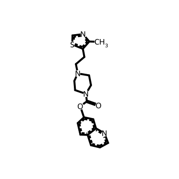 Cc1ncsc1CCN1CCN(C(=O)Oc2ccc3cccnc3c2)CC1